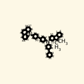 CC1(C)c2ccccc2-c2ccc(N(c3ccc(-c4ccccc4)cc3)c3ccc(-c4ccc(-n5c6cccc7ccc8cccc5c8c76)cc4)cc3)cc21